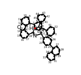 c1ccc(-c2ccc(-c3cccc4oc5cccc(C6=NC(c7ccc(-c8cccc9ccccc89)cc7)=NC(c7ccccc7)N6)c5c34)cc2)cc1